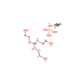 O=P(O)(O)O.OCCON(OCCO)OCCO.[NaH].[NaH]